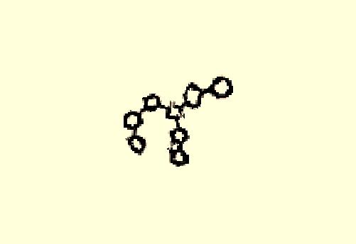 C1#CC(C2=CC=C(c3nc(-c4cccc(-c5cccc(-c6ccccc6)c5)c4)cc(-c4ccc5c(c4)oc4ccccc45)n3)CC#C2)=CC=CC1